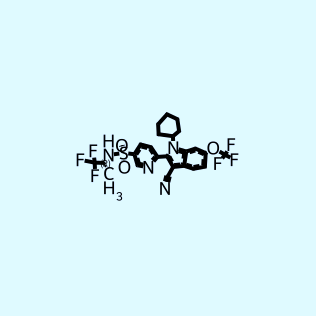 C[C@@H](NS(=O)(=O)c1ccc(-c2c(C#N)c3ccc(OC(F)(F)F)cc3n2C2CCCCC2)nc1)C(F)(F)F